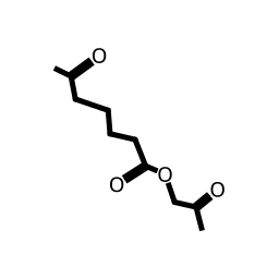 CC(=O)CCCCC(=O)OCC(C)=O